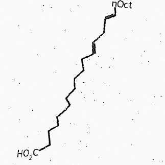 CCCCCCCCC=CCC=CCCCCCCCCCCC(=O)O